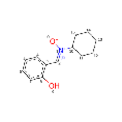 [O-]/[N+](=C\c1ccccc1O)C1CCCCC1